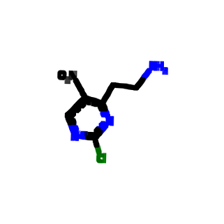 NCCc1nc(Cl)ncc1[N+](=O)[O-]